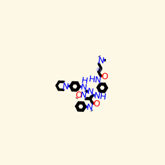 COc1cc(N2CCCCC2)ccc1Nc1ncc(C(=O)N(C)c2ccccc2)c(Nc2cccc(NC(=O)/C=C/CN(C)C)c2)n1